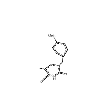 COc1ccc(Cn2cc(C)c(=O)[nH]c2=O)cc1